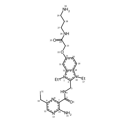 CCn1c(CNC(=O)c2nc(CI)cnc2N)[n+](CC)c2ccc(OCC(=O)NCCCN)cc21